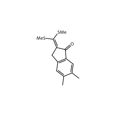 CSC(SC)=C1Cc2cc(C)c(C)cc2C1=O